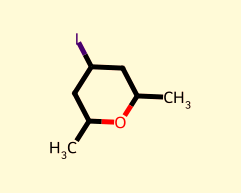 CC1CC(I)CC(C)O1